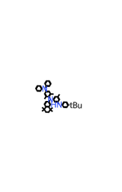 Cc1cc(Nc2ccc(C(C)(C)C)cc2)cc(N(c2ccc3c(c2)C(C)(C)CCC3(C)C)c2c(C)cc(N(c3ccccc3)c3ccccc3)cc2C)c1